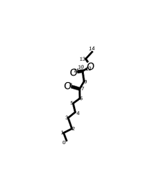 CCCCCCCC(=O)CC(=O)OCC